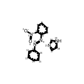 O=[N+]([O-])c1ccccc1N=Nc1ccccc1.c1c[nH]cn1